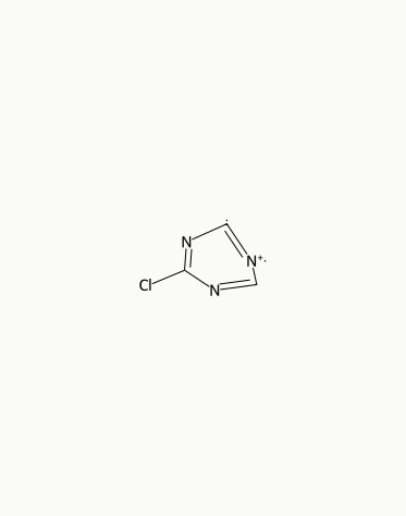 ClC1=N[C]=[N+]C=N1